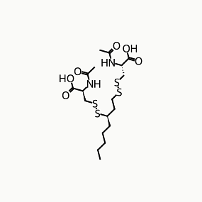 CCCCC[C@H](CCSSC[C@H](NC(C)=O)C(=O)O)SSC[C@H](NC(C)=O)C(=O)O